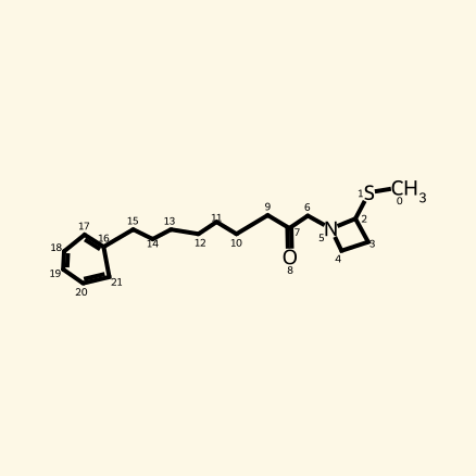 CSC1CCN1CC(=O)CCCCCCCc1ccccc1